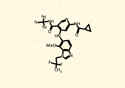 [2H]C([2H])([2H])NC(=O)c1cnc(NC(=O)C2CC2)cc1Nc1ccc2ncn(CC(C)(F)F)c2c1OC